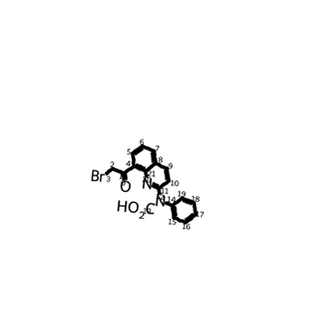 O=C(CBr)c1cccc2ccc(N(C(=O)O)c3ccccc3)nc12